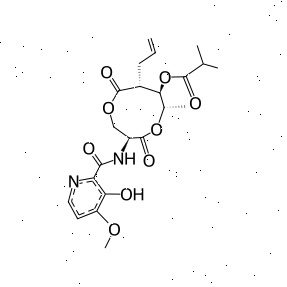 C=CC[C@H]1C(=O)OC[C@H](NC(=O)c2nccc(OC)c2O)C(=O)O[C@@H](C)[C@@H]1OC(=O)C(C)C